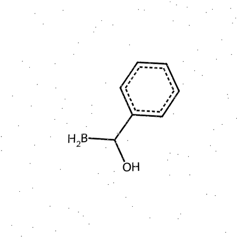 BC(O)c1ccccc1